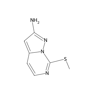 CSc1nccc2cc(N)nn12